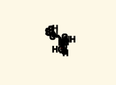 [2H]OC[C@H]1O[C@@H](n2nc(C#CCCNC(=O)c3cc4cccc5ccc6cccc3c6c54)c3c(=O)[nH]cnc32)CC1O